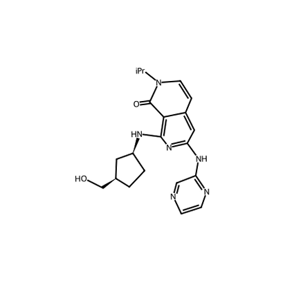 CC(C)n1ccc2cc(Nc3cnccn3)nc(N[C@H]3CC[C@@H](CO)C3)c2c1=O